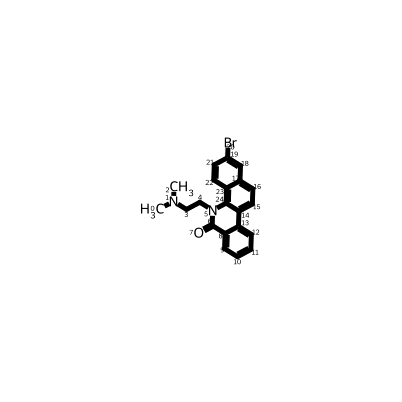 CN(C)CCn1c(=O)c2ccccc2c2ccc3cc(Br)ccc3c21